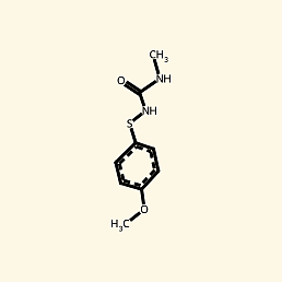 CNC(=O)NSc1ccc(OC)cc1